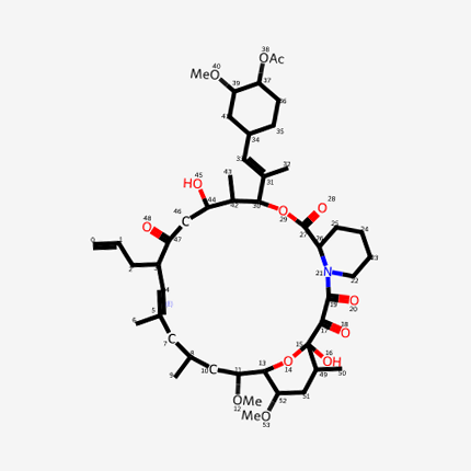 C=CCC1/C=C(\C)CC(C)CC(OC)C2OC(O)(C(=O)C(=O)N3CCCCC3C(=O)OC(C(C)=CC3CCC(OC(C)=O)C(OC)C3)C(C)C(O)CC1=O)C(C)CC2OC